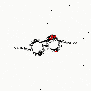 COCCOCCOCCN1CCNC(=O)c2cccc(c2O)C(=O)NCCN(CCN2CCNC(=O)c3cccc(c3O)C(=O)NCCN(CCOCCOCCOC)CCNC(=O)c3cccc(c3O)C(=O)NC(CCCCNC(=O)CCN3C(=O)C=CC3=O)C2)CCNC(=O)c2cccc(c2O)C(=O)NCC1